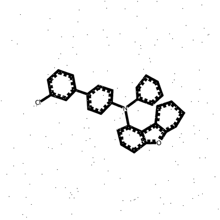 Clc1cccc(-c2ccc(N(c3ccccc3)c3cccc4oc5ccccc5c34)cc2)c1